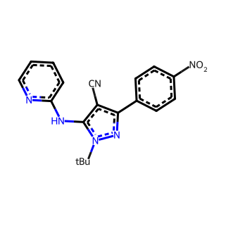 CC(C)(C)n1nc(-c2ccc([N+](=O)[O-])cc2)c(C#N)c1Nc1ccccn1